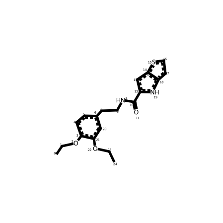 CCOc1ccc(CCNC(=O)c2cc3sccc3[nH]2)cc1OCC